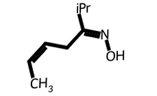 C/C=C\C/C(=N\O)C(C)C